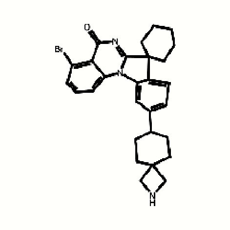 O=c1nc2n(c3cccc(Br)c13)-c1cc(C3CCC4(CC3)CNC4)ccc1C21CCCCC1